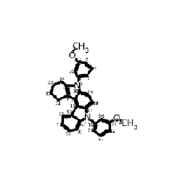 COc1cccc(-n2c3c(c4c5c6ccccc6n(-c6cccc(OC)c6)c5ccc42)CCCC3)c1